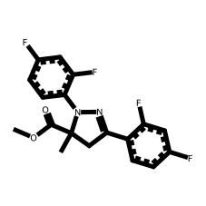 COC(=O)C1(C)CC(c2ccc(F)cc2F)=NN1c1ccc(F)cc1F